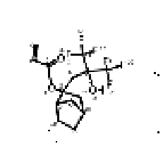 C=CC(=O)OC1(CC(O)(C(F)(F)F)C(F)(F)F)CC2CCC1C2